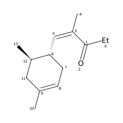 CCC(=O)C(C)=C[C@@H]1CC=C(C)C[C@H]1C